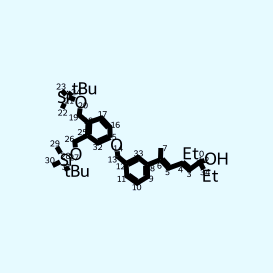 CCC(O)(/C=C/C=C(\C)c1cccc(COc2ccc(CO[Si](C)(C)C(C)(C)C)c(CO[Si](C)(C)C(C)(C)C)c2)c1)CC